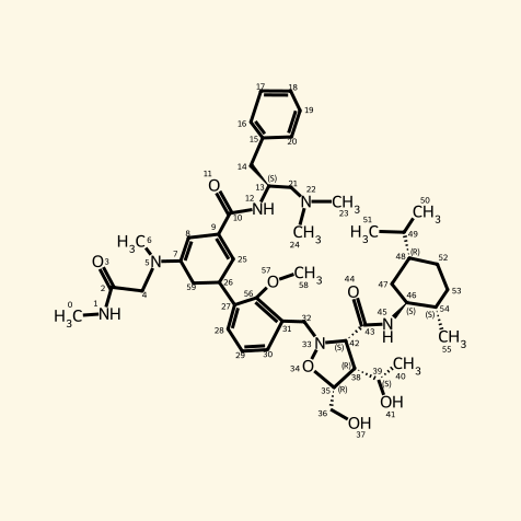 CNC(=O)CN(C)C1=CC(C(=O)N[C@@H](Cc2ccccc2)CN(C)C)=CC(c2cccc(CN3O[C@@H](CO)[C@@H]([C@H](C)O)[C@H]3C(=O)N[C@H]3C[C@H](C(C)C)CC[C@@H]3C)c2OC)C1